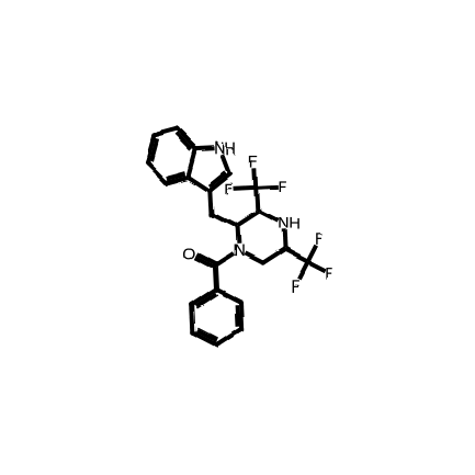 O=C(c1ccccc1)N1CC(C(F)(F)F)NC(C(F)(F)F)C1Cc1c[nH]c2ccccc12